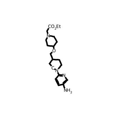 CCOC(=O)CN1CCC(OCC2CCN(c3ccc(N)cn3)CC2)CC1